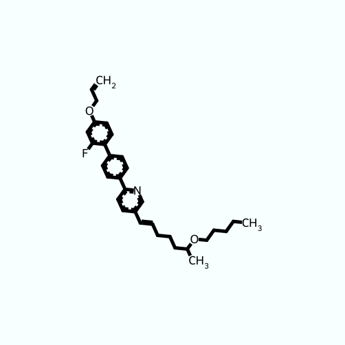 C=CCOc1ccc(-c2ccc(-c3ccc(/C=C/CCCC(C)OCCCCC)cn3)cc2)c(F)c1